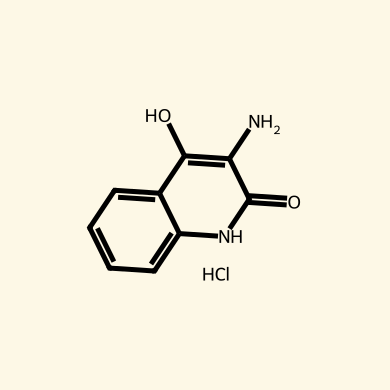 Cl.Nc1c(O)c2ccccc2[nH]c1=O